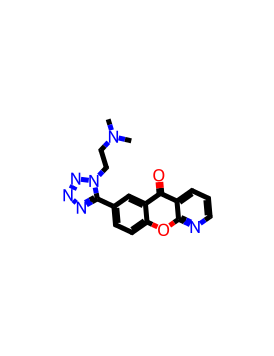 CN(C)CCn1nnnc1-c1ccc2oc3ncccc3c(=O)c2c1